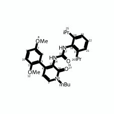 CCCCn1ccc(-c2cc(OC)ccc2OC)c(NC(=O)Nc2c(C(C)C)cccc2C(C)C)c1=O